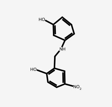 O=[N+]([O-])c1ccc(O)c(CNc2cccc(O)c2)c1